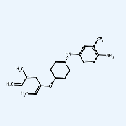 C=C/C(C)=C\C(=C/C)O[C@H]1CC[C@H](Nc2ccc(N)c(C(F)(F)F)c2)CC1